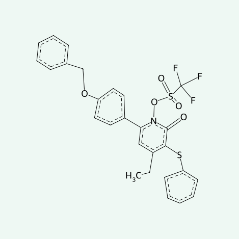 CCc1cc(-c2ccc(OCc3ccccc3)cc2)n(OS(=O)(=O)C(F)(F)F)c(=O)c1Sc1ccccc1